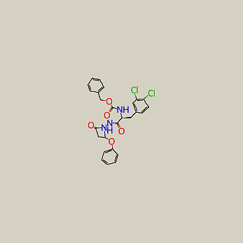 O=C(N[C@@H](Cc1ccc(Cl)c(Cl)c1)C(=O)NN1C(=O)CC1Oc1ccccc1)OCc1ccccc1